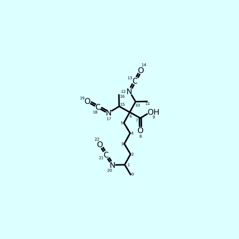 CC(CCCCC(C(=O)O)(C(C)N=C=O)C(C)N=C=O)N=C=O